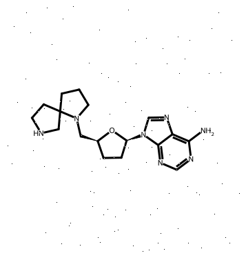 Nc1ncnc2c1ncn2[C@H]1CC[C@@H](CN2CCCC23CCNC3)O1